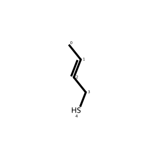 CC=CCS